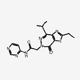 CCc1nc2c(C(C)C)nn(CC(=O)Nc3ccncn3)c(=O)c2s1